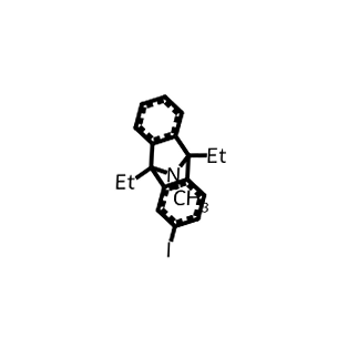 CCC12c3ccccc3C(CC)(c3cc(I)ccc31)N2C